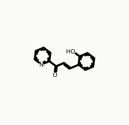 O=C(C=Cc1ccccc1O)c1ccccn1